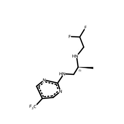 C[C@@H](CNc1ncc(C(F)(F)F)cn1)NCC(F)F